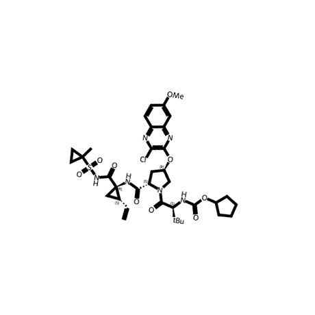 C=C[C@@H]1C[C@]1(NC(=O)[C@@H]1C[C@@H](Oc2nc3cc(OC)ccc3nc2Cl)CN1C(=O)[C@@H](NC(=O)OC1CCCC1)C(C)(C)C)C(=O)NS(=O)(=O)C1(C)CC1